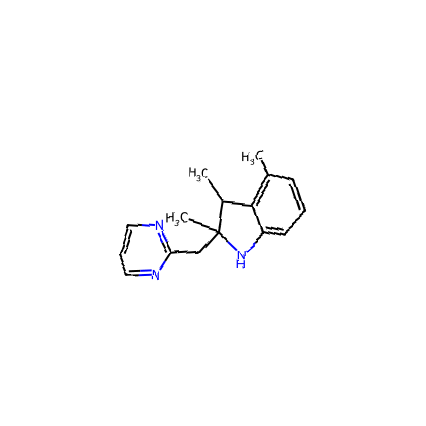 Cc1cccc2c1C(C)C(C)(Cc1ncccn1)N2